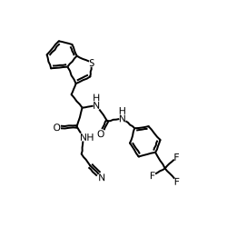 N#CCNC(=O)C(Cc1csc2ccccc12)NC(=O)Nc1ccc(C(F)(F)F)cc1